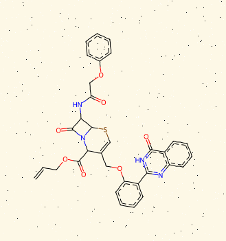 C=CCOC(=O)C1C(COc2ccccc2-c2nc3ccccc3c(=O)[nH]2)=CSC2C(NC(=O)COc3ccccc3)C(=O)N12